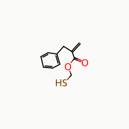 C=C(Cc1ccccc1)C(=O)OCS